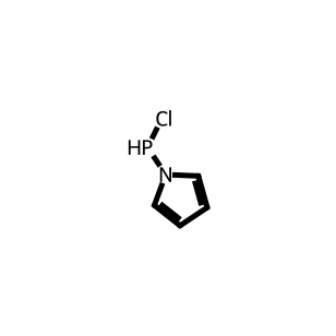 ClPn1cccc1